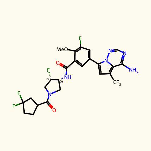 COc1c(F)cc(-c2cc(C(F)(F)F)c3c(N)ncnn23)cc1C(=O)N[C@@H]1CN(C(=O)C2CCC(F)(F)C2)C[C@@H]1F